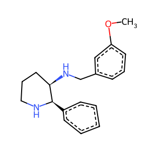 COc1cccc(CN[C@@H]2CCCN[C@@H]2c2ccccc2)c1